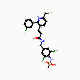 CS(=O)(=O)Nc1c(F)cc(CNC(=O)/C=C/c2ccc(CF)nc2-c2cccc(F)c2)cc1F